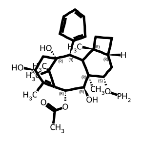 CC(=O)O[C@@H]1C2=C(C)[C@@H](O)C[C@@](O)([C@@H](c3ccccc3)C3[C@@](C)([C@@H](OP)C[C@H]4CC[C@@]34C)[C@H]1O)C2(C)C